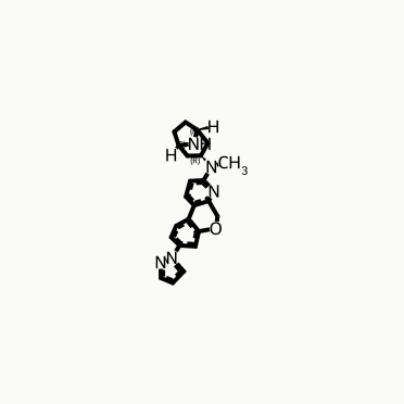 CN(c1ccc2c(n1)COc1cc(-n3cccn3)ccc1-2)[C@H]1C[C@H]2CC[C@@H](C1)N2